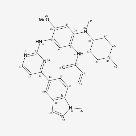 C=CC(=O)Nc1cc(Nc2nccc(-c3ccc4c(cnn4C)c3)n2)c(OC)cc1N(C)C1CCN(C)CC1